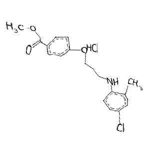 COC(=O)c1ccc(OCCCNc2ccc(Cl)cc2C)cc1.Cl